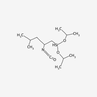 CC(C)CC(C[SiH](OC(C)C)OC(C)C)N=C=O